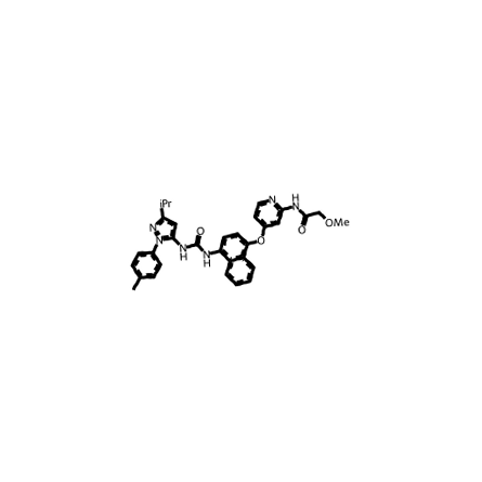 COCC(=O)Nc1cc(Oc2ccc(NC(=O)Nc3cc(C(C)C)nn3-c3ccc(C)cc3)c3ccccc23)ccn1